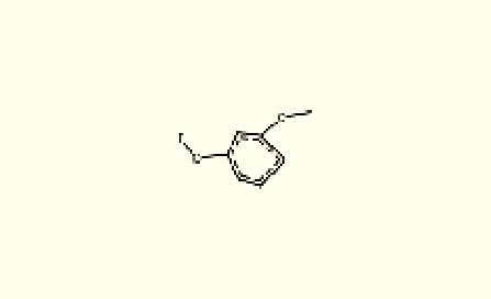 COc1cccc(OF)c1